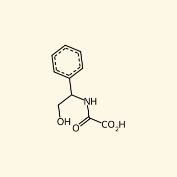 O=C(O)C(=O)NC(CO)c1ccccc1